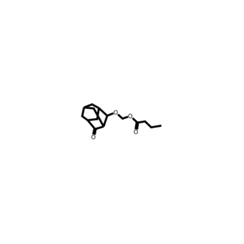 CCCC(=O)OCOC1C2CC3CC(C2)C(=O)C1C3